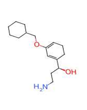 NCC[C@H](O)C1=CC(OCC2CCCCC2)=CCC1